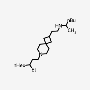 CCCCCCC(CC)CCN1CCC2(CC1)CC(CCNC(C)CCCC)C2